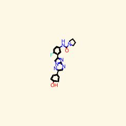 O=C(Nc1ccc(F)c(-c2cn3nc(-c4ccc(O)cc4)cnc3n2)c1)N1CCCC1